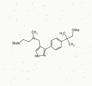 CNCCN(C)Cc1c[nH]nc1-c1ccc(C(C)(C)COC)cc1